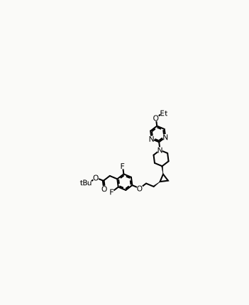 CCOc1cnc(N2CCC([C@H]3C[C@H]3CCOc3cc(F)c(CC(=O)OC(C)(C)C)c(F)c3)CC2)nc1